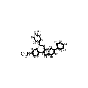 CCCN1CCN(CCc2c(-c3ccc([N+](=O)[O-])cc3)nc3ccc(-c4ccccc4)cn23)CC1